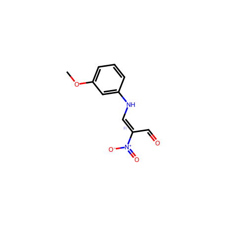 COc1cccc(N/C=C(\C=O)[N+](=O)[O-])c1